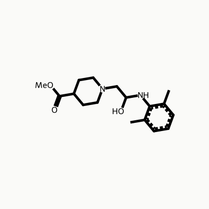 COC(=O)C1CCN(CC(O)Nc2c(C)cccc2C)CC1